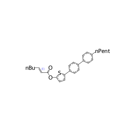 CCCC/C=C/C(=O)Oc1ccc(-c2ccc(-c3ccc(CCCCC)cc3)cc2)s1